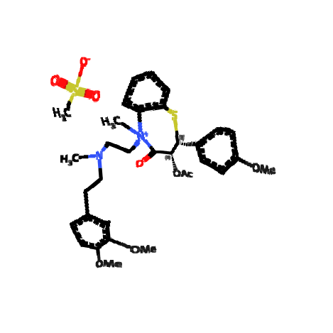 COc1ccc([C@H]2Sc3ccccc3[N+](C)(CCN(C)CCc3ccc(OC)c(OC)c3)C(=O)[C@H]2OC(C)=O)cc1.CS(=O)(=O)[O-]